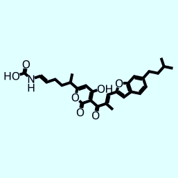 C/C(=C\c1cc2ccc(CCC(C)C)cc2o1)C(=O)c1c(O)cc(C(C)CC/C=C/NC(=O)O)oc1=O